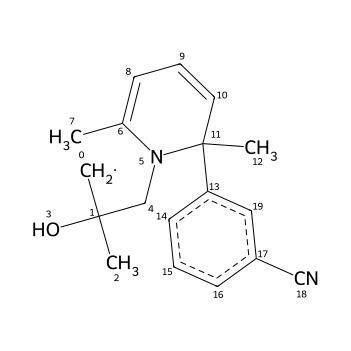 [CH2]C(C)(O)CN1C(C)=CC=CC1(C)c1cccc(C#N)c1